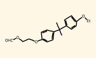 CCOc1ccc(C(C)(C)c2ccc(OCCOC=O)cc2)cc1